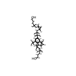 CC(C)(CCCO)CC1(C)CC1(C)CC(C)(C)C(C)(C)c1cc(C(C)(C)C)cc(C2(C)CC2(C)C2(C)CC2(C)CC(C)(C)CCCO)c1